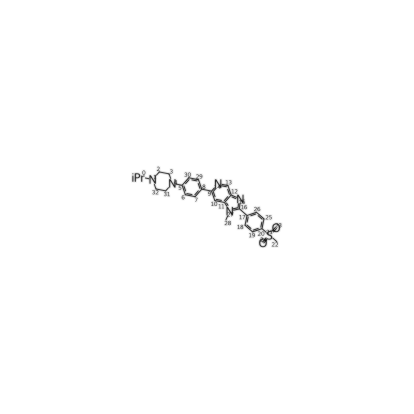 CC(C)N1CCN(c2ccc(-c3cc4c(cn3)nc(-c3ccc(S(C)(=O)=O)cc3)n4C)cc2)CC1